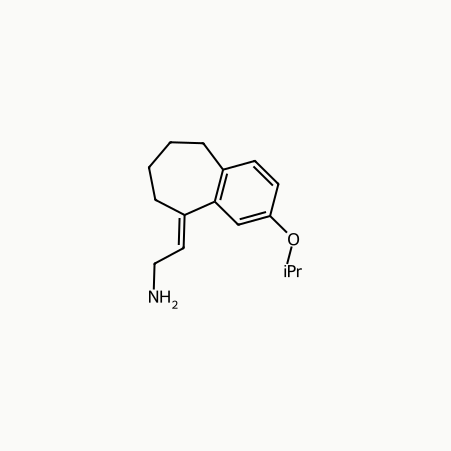 CC(C)Oc1ccc2c(c1)C(=CCN)CCCC2